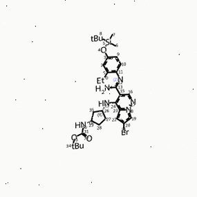 CCc1cc(O[Si](C)(C)C(C)(C)C)ccc1/N=C(\N)c1cnn2cc(Br)cc2c1N[C@@H]1CC[C@H](NC(=O)OC(C)(C)C)C1